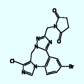 O=C1CCC(=O)N1Cc1nc2n(n1)Cc1c(Cl)ncn1-c1ccc(Br)cc1-2